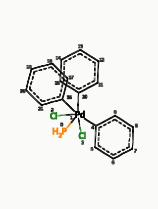 [PH2][Pd]([Cl])([Cl])([c]1ccccc1)([c]1ccccc1)[c]1ccccc1